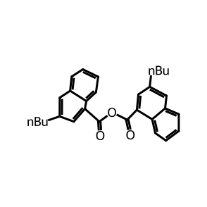 CCCCc1cc(C(=O)OC(=O)c2cc(CCCC)cc3ccccc23)c2ccccc2c1